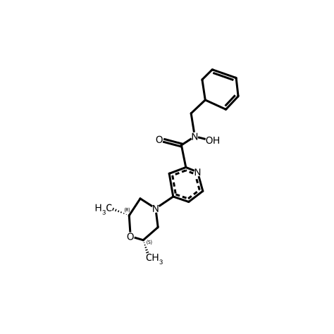 C[C@@H]1CN(c2ccnc(C(=O)N(O)CC3C=CC=CC3)c2)C[C@H](C)O1